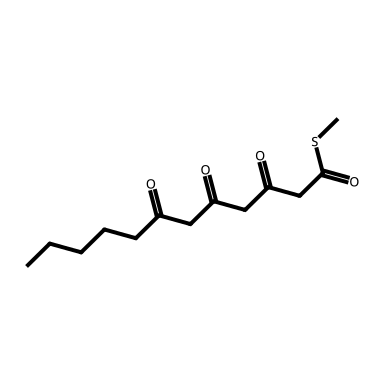 CCCCCC(=O)CC(=O)CC(=O)CC(=O)SC